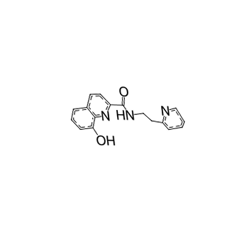 O=C(NCCc1ccccn1)c1ccc2cccc(O)c2n1